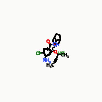 CC#C[C@H](C)Oc1cc(N)c(Cl)cc1C(=O)NC1C2CCC1CN(C)C2.Cl